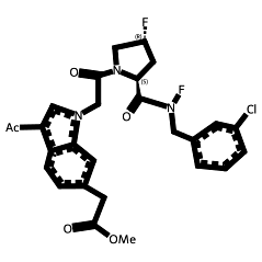 COC(=O)Cc1ccc2c(C(C)=O)cn(CC(=O)N3C[C@H](F)C[C@H]3C(=O)N(F)Cc3cccc(Cl)c3)c2c1